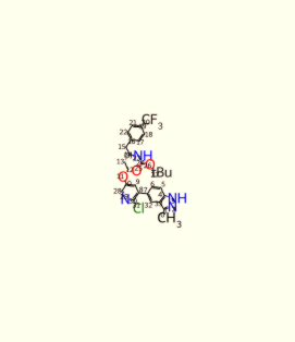 Cc1n[nH]c2ccc(-c3cc(OCC[C@H](Cc4ccc(C(F)(F)F)cc4)NC(=O)OC(C)(C)C)cnc3Cl)cc12